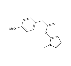 COc1ccc(CC(=O)Oc2cccn2C)cc1